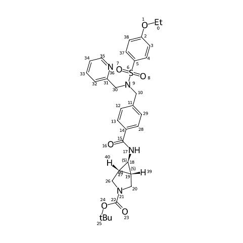 CCOc1ccc(S(=O)(=O)N(Cc2ccc(C(=O)N[C@H]3[C@@H]4CN(C(=O)OC(C)(C)C)C[C@@H]43)cc2)Cc2ccccn2)cc1